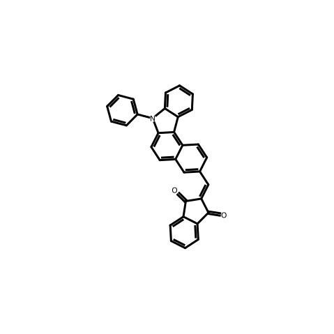 O=C1C(=Cc2ccc3c(ccc4c3c3ccccc3n4-c3ccccc3)c2)C(=O)c2ccccc21